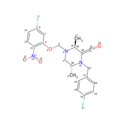 C[C@@H]1CN(COc2cc(F)ccc2[N+](=O)[O-])[C@@H](C)C(=C=O)N1Cc1ccc(F)cc1